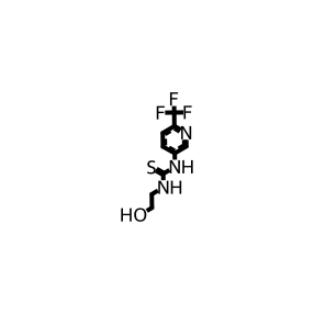 OCCNC(=S)Nc1ccc(C(F)(F)F)nc1